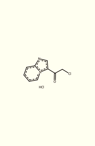 Cl.O=C(CCl)c1cnc2ccccn12